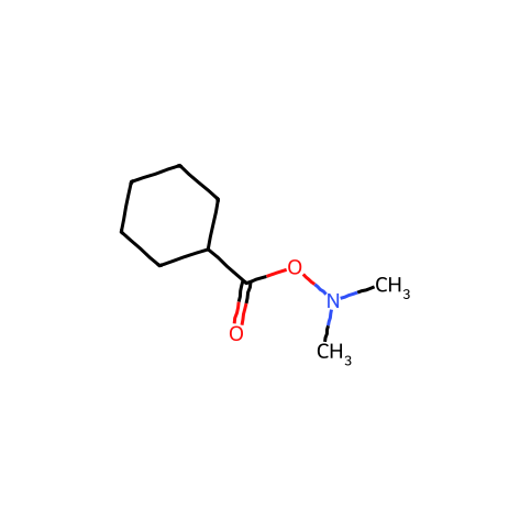 CN(C)OC(=O)C1CCCCC1